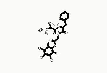 Br.CC(N)C(=O)NC(Cc1ccccc1)C(=O)NCC(=O)Oc1c(Cl)c(Cl)c(Cl)c(Cl)c1Cl